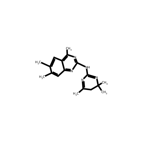 CC1=NC(Nc2nc(C)c3cc(C)c(C)cc3n2)=NC(C)(C)C1